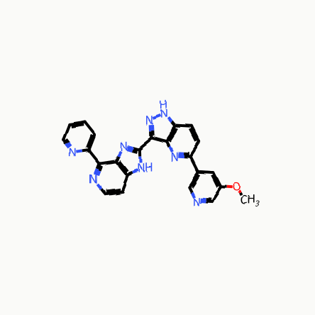 COc1cncc(-c2ccc3[nH]nc(-c4nc5c(-c6ccccn6)nccc5[nH]4)c3n2)c1